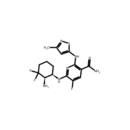 Cc1cc(Nc2nc(N[C@@H]3CCCC(F)(F)[C@@H]3N)c(F)cc2C(N)=O)sn1